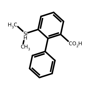 C[SiH](C)c1cccc(C(=O)O)c1-c1ccccc1